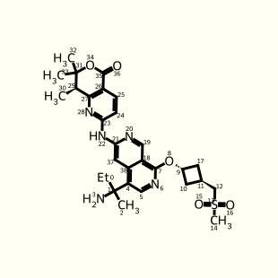 CCC(C)(N)c1cnc(O[C@H]2C[C@H](CS(C)(=O)=O)C2)c2cnc(Nc3ccc4c(n3)[C@@H](C)C(C)(C)OC4=O)cc12